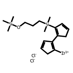 C[Si](C)(C)OCCC[Si](C)(C)C1=C(C2=[C]([Zr+2])CC=C2)CC=C1.[Cl-].[Cl-]